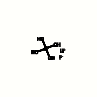 O[Si](O)(O)O.[F-].[Li+]